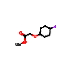 CC(C)(C)OC(=O)COC1CCC(I)CC1